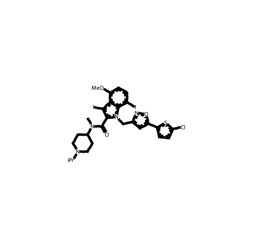 COc1ccc(I)c2c1c(I)c(C(=O)N(C)C1CCN(C(C)C)CC1)n2Cc1cc(-c2ccc(Cl)s2)on1